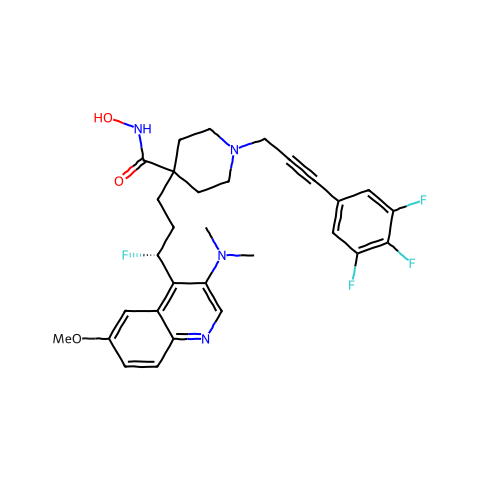 COc1ccc2ncc(N(C)C)c([C@H](F)CCC3(C(=O)NO)CCN(CC#Cc4cc(F)c(F)c(F)c4)CC3)c2c1